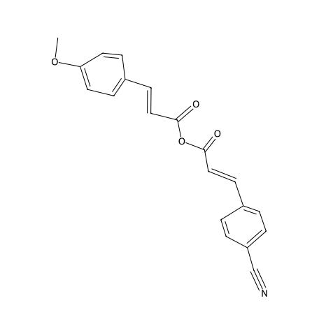 COc1ccc(/C=C/C(=O)OC(=O)/C=C/c2ccc(C#N)cc2)cc1